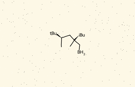 BCC(C)(C[C@@H](C)C(C)(C)C)[C@H](C)CC